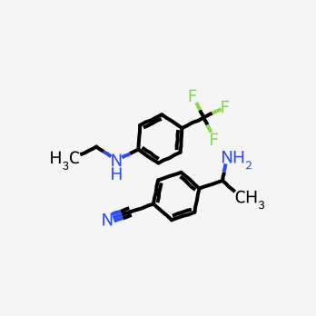 CC(N)c1ccc(C#N)cc1.CCNc1ccc(C(F)(F)F)cc1